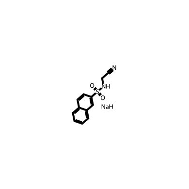 N#CCNS(=O)(=O)c1ccc2ccccc2c1.[NaH]